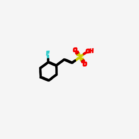 O=S(=O)(O)CCC1CCCCC1F